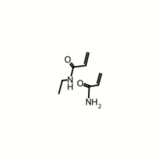 C=CC(=O)NCC.C=CC(N)=O